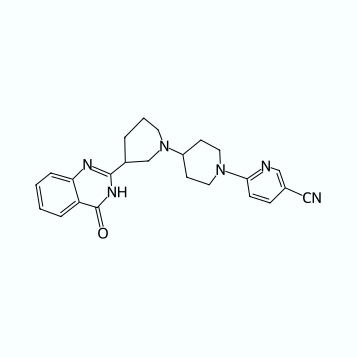 N#Cc1ccc(N2CCC(N3CCCC(c4nc5ccccc5c(=O)[nH]4)C3)CC2)nc1